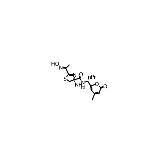 CCC[C@@H](NC(=O)[C@]1(N)CSC(/C(C)=N/O)=N1)c1cc(C)cc(=O)o1